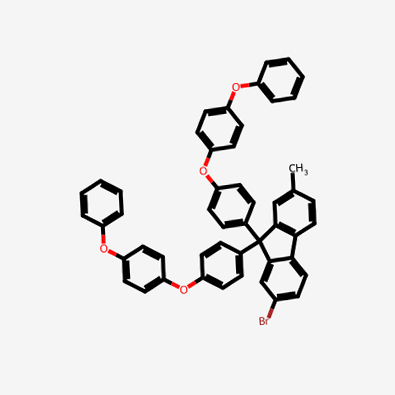 Cc1ccc2c(c1)C(c1ccc(Oc3ccc(Oc4ccccc4)cc3)cc1)(c1ccc(Oc3ccc(Oc4ccccc4)cc3)cc1)c1cc(Br)ccc1-2